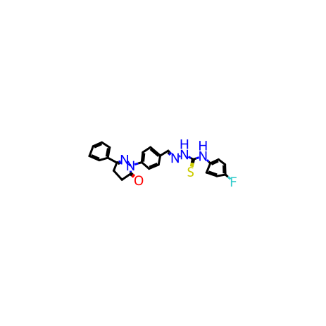 O=C1CCC(c2ccccc2)=NN1c1ccc(C=NNC(=S)Nc2ccc(F)cc2)cc1